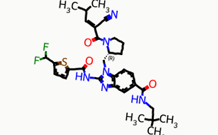 CC(C)C=C(C#N)C(=O)N1CCC[C@@H]1Cn1c(NC(=O)c2ccc(C(F)F)s2)nc2cc(C(=O)NCC(C)(C)C)ccc21